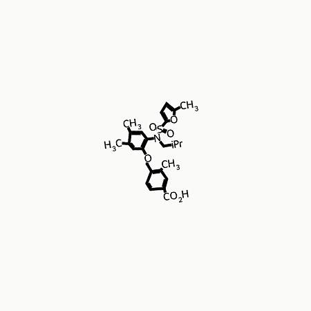 Cc1ccc(S(=O)(=O)N(CC(C)C)c2cc(C)c(C)cc2OCc2ccc(C(=O)O)cc2C)o1